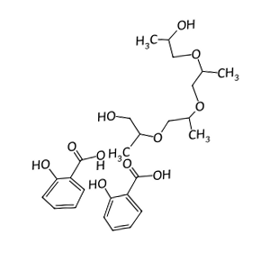 CC(O)COC(C)COC(C)COC(C)CO.O=C(O)c1ccccc1O.O=C(O)c1ccccc1O